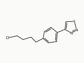 ClCCCCc1ccc(-c2csnn2)cc1